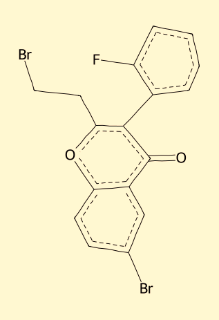 O=c1c(-c2ccccc2F)c(CCBr)oc2ccc(Br)cc12